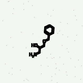 NCC(O)COCc1ccccc1